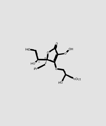 CCCCCCCCC(O)COC1=C(OO)C(=O)O[C@]1(CC(C)C)[C@@H](O)CO